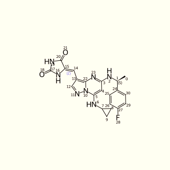 C[C@H](Nc1cc(NC2CC2)n2ncc(/C=C3\NC(=O)NC3=O)c2n1)c1ccc(F)cc1